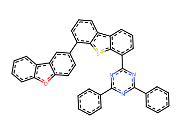 c1ccc(-c2nc(-c3ccccc3)nc(-c3cccc4c3sc3c(-c5ccc6oc7ccccc7c6c5)cccc34)n2)cc1